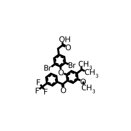 COc1cc(C(=O)c2cccc(C(F)(F)F)c2)c(Oc2c(Br)cc(CC(=O)O)cc2Br)cc1C(C)C